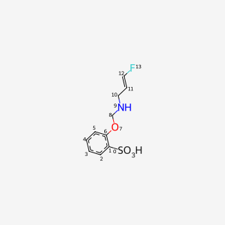 O=S(=O)(O)c1ccccc1OCNCC=CF